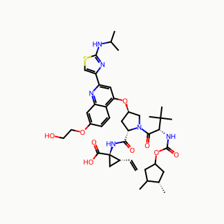 C=C[C@@H]1C[C@]1(NC(=O)[C@@H]1C[C@@H](Oc2cc(-c3csc(NC(C)C)n3)nc3cc(OCCO)ccc23)CN1C(=O)[C@@H](NC(=O)OC1CC(C)[C@@H](C)C1)C(C)(C)C)C(=O)O